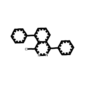 Clc1nnc(-c2ccccc2)c2cccc(-c3ccccc3)c12